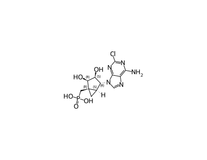 Nc1nc(Cl)nc2c1ncn2[C@H]1[C@H](O)[C@H](O)[C@@]2(CP(=O)(O)O)C[C@H]12